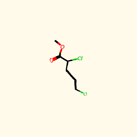 COC(=O)C(Cl)CCCCl